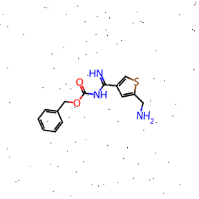 N=C(NC(=O)OCc1ccccc1)c1csc(CN)c1